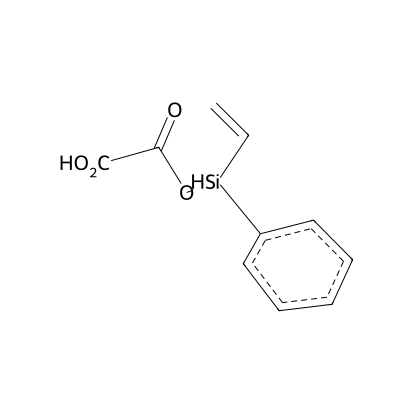 C=C[SiH](OC(=O)C(=O)O)c1ccccc1